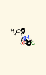 Cc1ccccc1C[C@@H](CC(=O)O)NC(=O)Cc1cccc(Cl)c1